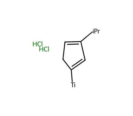 CC(C)C1=CC[C]([Ti])=C1.Cl.Cl